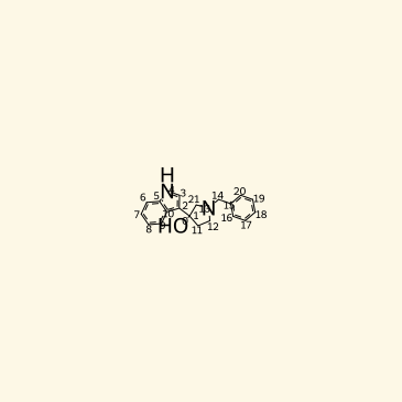 OC1(c2c[nH]c3ccccc23)CCN(Cc2ccccc2)C1